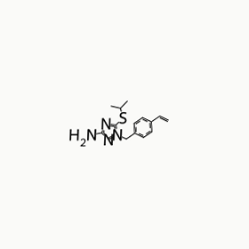 C=Cc1ccc(Cn2nc(N)nc2SC(C)C)cc1